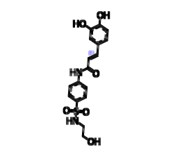 O=C(/C=C/c1ccc(O)c(O)c1)Nc1ccc(S(=O)(=O)NCCO)cc1